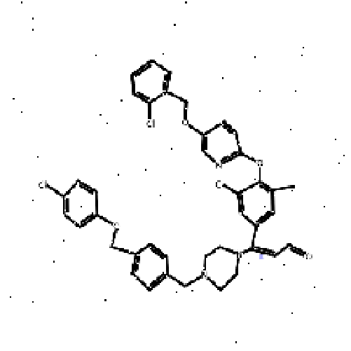 Cc1cc(/C(=C\C=O)N2CCN(Cc3ccc(COc4ccc(Cl)cc4)cc3)CC2)cc(Cl)c1Oc1ccc(OCc2ccccc2Cl)cn1